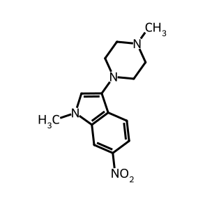 CN1CCN(c2cn(C)c3cc([N+](=O)[O-])ccc23)CC1